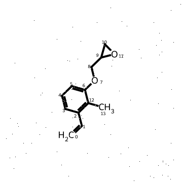 C=Cc1cccc(OCC2CO2)c1C